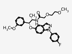 COCCOCC(=O)N[C@@H](C)[C@H](Oc1ccc2c(cnn2-c2ccc(F)cc2)c1)c1cccc(OC)c1